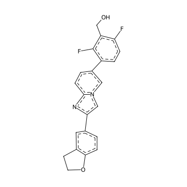 OCc1c(F)ccc(-c2ccc3nc(-c4ccc5c(c4)CCO5)cn3c2)c1F